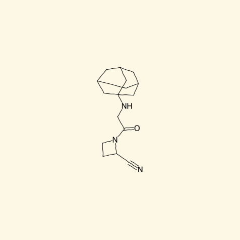 N#CC1CCN1C(=O)CNC12CC3CC(CC(C3)C1)C2